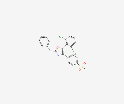 CS(=O)(=O)c1ccc(-c2nc(Cc3ccccc3)oc2-c2c(Cl)cccc2Cl)cc1